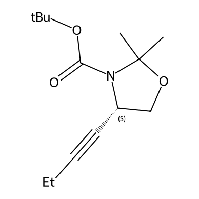 CCC#C[C@H]1COC(C)(C)N1C(=O)OC(C)(C)C